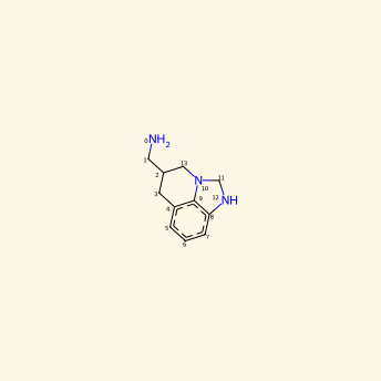 NCC1Cc2cccc3c2N(CN3)C1